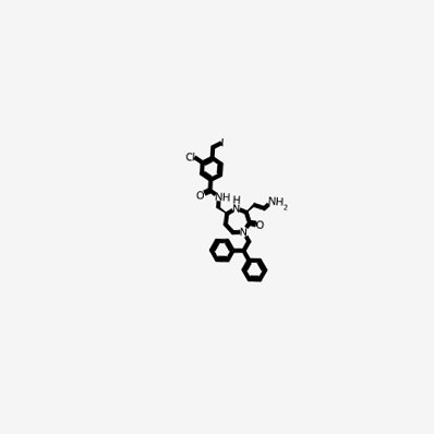 NCC[C@@H]1N[C@H](CNC(=O)c2ccc(CI)c(Cl)c2)CCN(CC(c2ccccc2)c2ccccc2)C1=O